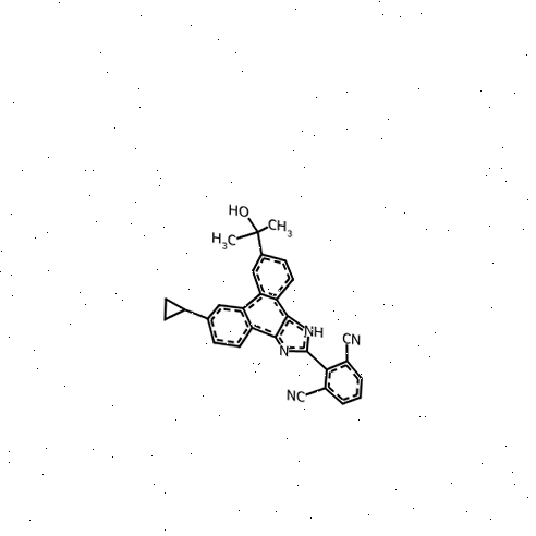 CC(C)(O)c1ccc2c(c1)c1cc(C3CC3)ccc1c1nc(-c3c(C#N)cccc3C#N)[nH]c21